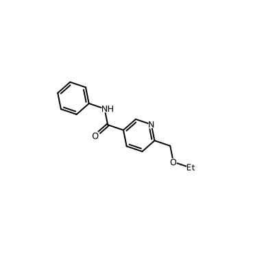 CCOCc1ccc(C(=O)Nc2ccccc2)cn1